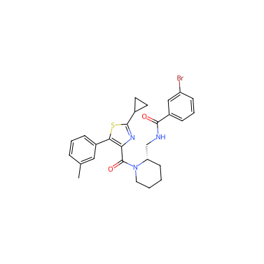 Cc1cccc(-c2sc(C3CC3)nc2C(=O)N2CCCC[C@H]2CNC(=O)c2cccc(Br)c2)c1